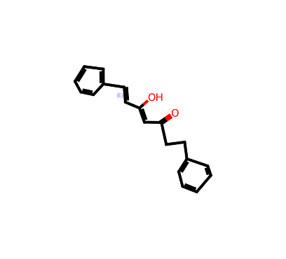 O=C(C=C(O)/C=C/c1ccccc1)CCc1ccccc1